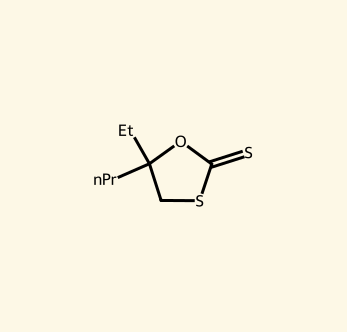 CCCC1(CC)CSC(=S)O1